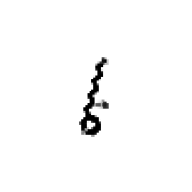 Br.BrCCCCCCCc1cccnc1